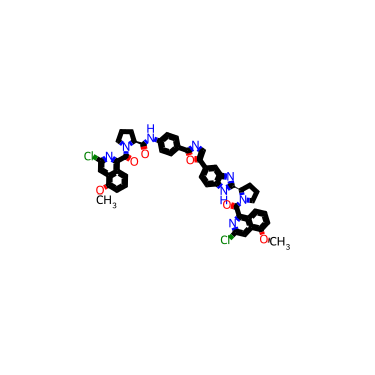 COc1cccc2c(C(=O)N3CCC[C@H]3C(=O)Nc3ccc(-c4ncc(-c5ccc6[nH]c([C@@H]7CCCN7C(=O)c7nc(Cl)cc8c(OC)cccc78)nc6c5)o4)cc3)nc(Cl)cc12